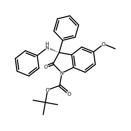 COc1ccc2c(c1)[C@](Nc1ccccc1)(c1ccccc1)C(=O)N2C(=O)OC(C)(C)C